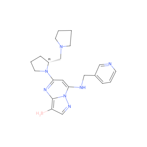 Bc1cnn2c(NCc3cccnc3)cc(N3CCC[C@@H]3CN3CCCC3)nc12